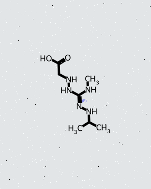 CN/C(=N\NC(C)C)NNCC(=O)O